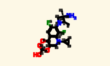 C[C@H]1N(c2c(F)cc3c(=O)c(OC(=O)O)cn(C4CC4)c3c2F)C[C@@]1(C)N